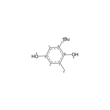 Cc1cc(O)cc(C(C)(C)C)c1O